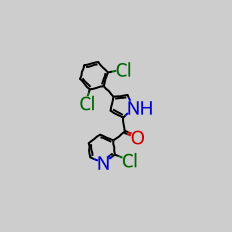 O=C(c1cc(-c2c(Cl)cccc2Cl)c[nH]1)c1cccnc1Cl